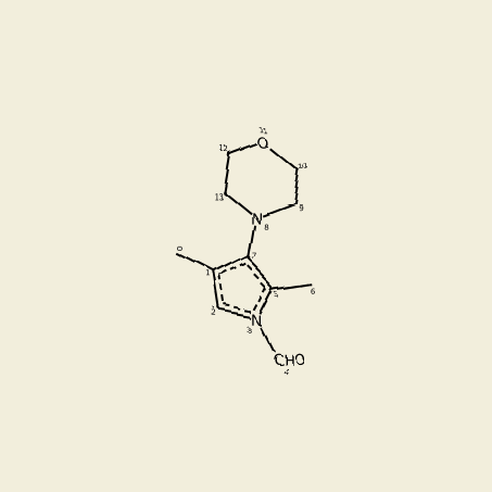 Cc1[c]n(C=O)c(C)c1N1CCOCC1